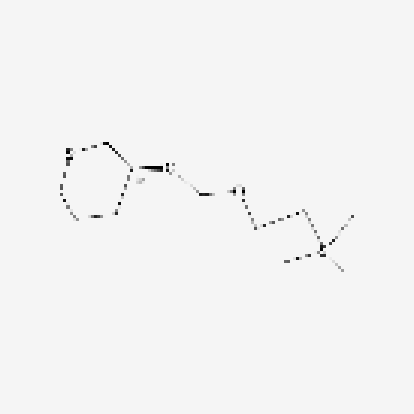 C[Si](C)(C)CCOCO[C@H]1CCCSC1